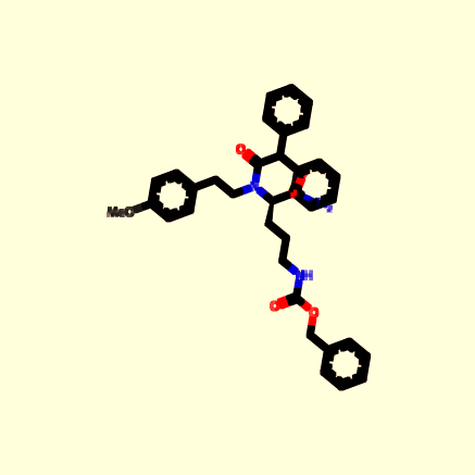 COc1ccc(CCN(C(=O)C(c2ccccc2)c2ccccc2)[C@H](CCCNC(=O)OCc2ccccc2)C(N)=O)cc1